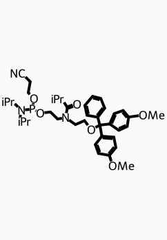 COc1ccc(C(OCCN(CCOP(OCCC#N)N(C(C)C)C(C)C)C(=O)C(C)C)(c2ccccc2)c2ccc(OC)cc2)cc1